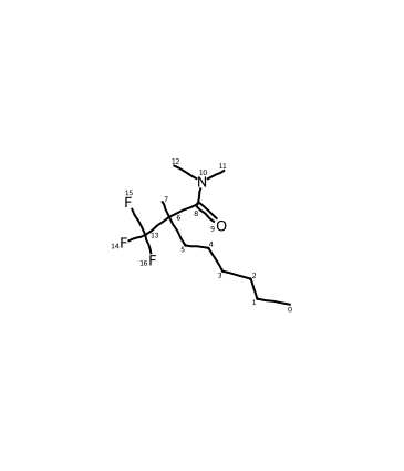 CCCCCCC(C)(C(=O)N(C)C)C(F)(F)F